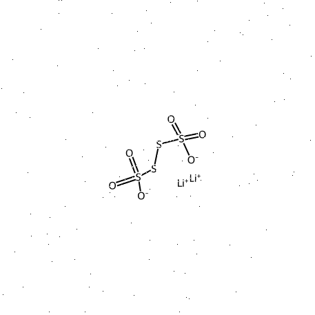 O=S(=O)([O-])SSS(=O)(=O)[O-].[Li+].[Li+]